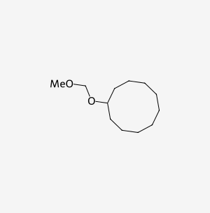 COCOC1CCCCCCCCC1